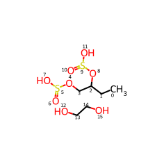 CCC(COS(=O)O)OS(=O)O.OCCO